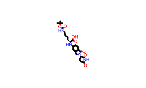 CC(C)(C)OC(=O)NCCCC[C@H](Nc1ccc2c(c1)CN(C1CCC(=O)NC1=O)C2=O)C(=O)O